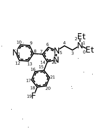 CCN(CC)CCn1cc(-c2ccncc2)c(-c2ccc(F)cc2)n1